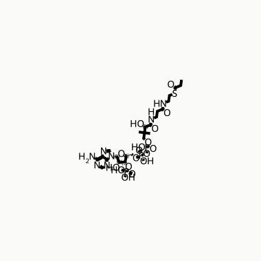 CCC(=O)SCCNC(=O)CCNC(=O)[C@H](O)C(C)(C)COP(=O)(O)OP(=O)(O)OC[C@H]1O[C@@H](n2cnc3c(N)ncnc32)[C@H](O)[C@@H]1OP(=O)(O)O